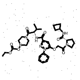 CCOC(=O)ON1CCN(C(=O)[C@@H](NC(=O)c2cc(OCC(=O)N3CCC[C@H]3C(=O)NC3CCC3)n(-c3ccccc3)n2)C(C)C)CC1